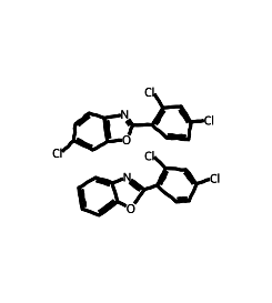 Clc1ccc(-c2nc3ccc(Cl)cc3o2)c(Cl)c1.Clc1ccc(-c2nc3ccccc3o2)c(Cl)c1